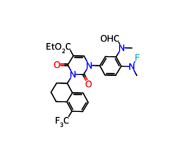 CCOC(=O)c1cn(-c2ccc(N(C)F)c(N(C)C=O)c2)c(=O)n(C2CCCc3c2cccc3C(F)(F)F)c1=O